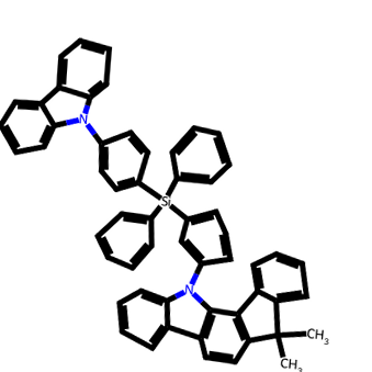 CC1(C)c2ccccc2-c2c1ccc1c3ccccc3n(-c3cccc([Si](c4ccccc4)(c4ccccc4)c4ccc(-n5c6ccccc6c6ccccc65)cc4)c3)c21